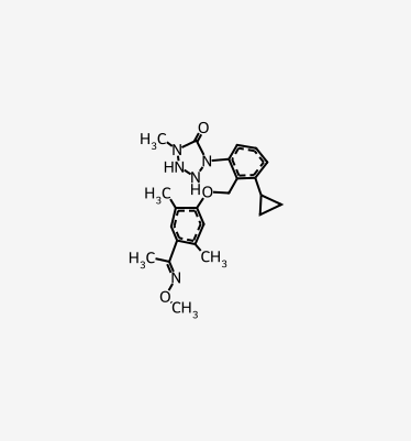 CON=C(C)c1cc(C)c(OCc2c(C3CC3)cccc2N2NNN(C)C2=O)cc1C